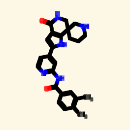 Cc1ccc(C(=O)Nc2cc(-c3cc4c([nH]3)C3(CCCNC3)CNC4=O)ccn2)cc1C